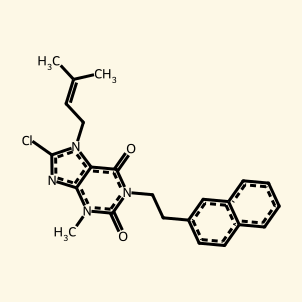 CC(C)=CCn1c(Cl)nc2c1c(=O)n(CCc1ccc3ccccc3c1)c(=O)n2C